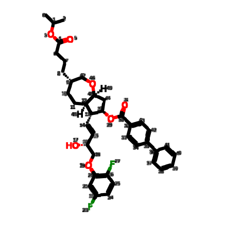 CC(C)OC(=O)CCC[C@H]1CC[C@@H]2[C@@H](/C=C/[C@@H](O)COc3cc(F)ccc3F)[C@H](OC(=O)c3ccc(-c4ccccc4)cc3)C[C@@H]2OC1